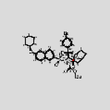 CC(C)(C)OC(=O)NC1CC2CCC(C1)N2C(=O)C(NS(=O)(=O)c1ccc2cc(OC3CCCCC3)ccc2c1)C(F)(F)c1ccc(Br)cc1